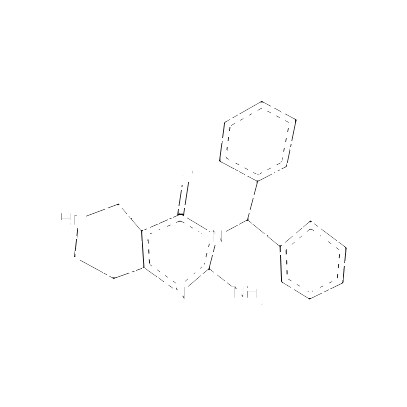 Nc1nc2c(c(=O)n1C(c1ccccc1)c1ccccc1)CNCC2